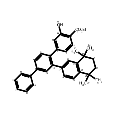 CCOC(=O)c1ccc(-c2ccc(-c3ccccc3)cc2-c2ccc3c(c2)C(C)(C)CCC3(C)C)cc1O